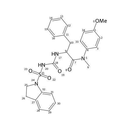 COc1ccc(N(C)C(=O)C(Cc2ccccc2)NC(=O)NS(=O)(=O)N2CCc3ccccc32)cc1